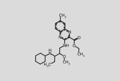 CCOC(=O)c1nc2cc(C)ccc2nc1NCC(OC)C(CC)NC1CCCCC1